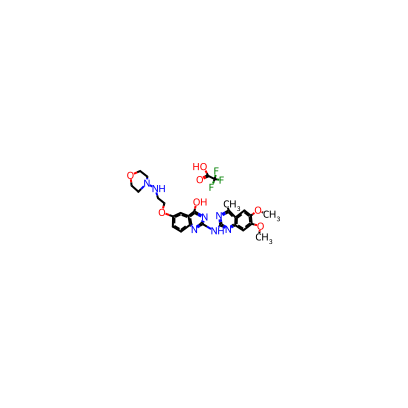 COc1cc2nc(Nc3nc(O)c4cc(OCCNN5CCOCC5)ccc4n3)nc(C)c2cc1OC.O=C(O)C(F)(F)F